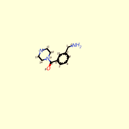 NCc1cccc(C(=O)N2CC[N]CC2)c1